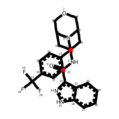 O=C(NC1CC2COCC(C1)N2Cc1ccc(C(F)(F)F)cc1)c1n[nH]c2ccccc12